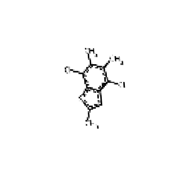 Cc1cc2c(Cl)c(C)c(C)c(Cl)c2s1